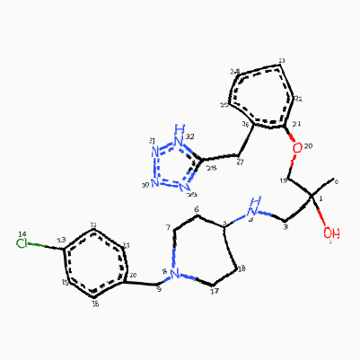 CC(O)(CNC1CCN(Cc2ccc(Cl)cc2)CC1)COc1ccccc1Cc1nnn[nH]1